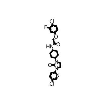 O=C(COc1ccc(Cl)c(F)c1)N[C@H]1CC[C@H](N2CCN(c3ccc(Cl)cn3)C2=O)CC1